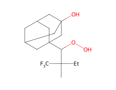 CCC(C)(C(OO)C12CC3CC(CC(O)(C3)C1)C2)C(F)(F)F